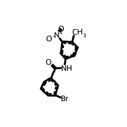 Cc1ccc(NC(=O)c2cccc(Br)c2)cc1[N+](=O)[O-]